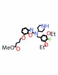 CCOc1cc(CN(c2nc3cccc(OCCCC(=O)OC)c3o2)C2CCNCC2)cc(OCC)c1F